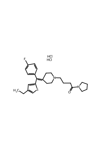 CCc1csc(C(=C2CCN(CCCC(=O)N3CCCC3)CC2)c2ccc(F)cc2)c1.Cl.Cl